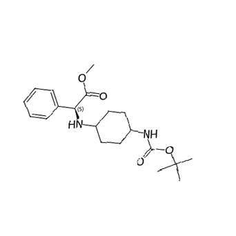 COC(=O)[C@@H](NC1CCC(NC(=O)OC(C)(C)C)CC1)c1ccccc1